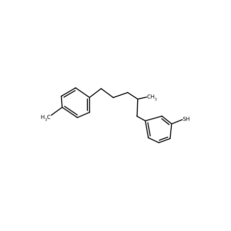 Cc1ccc(CCCC(C)Cc2cccc(S)c2)cc1